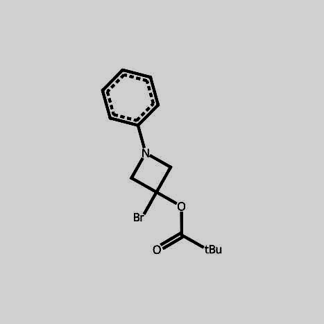 CC(C)(C)C(=O)OC1(Br)CN(c2ccccc2)C1